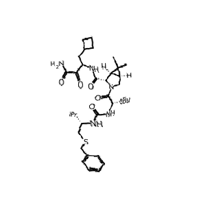 CC(C)[C@@H](CSCc1ccccc1)NC(=O)N[C@H](C(=O)N1C[C@H]2[C@@H]([C@H]1C(=O)NC(CC1CCC1)C(=O)C(N)=O)C2(C)C)C(C)(C)C